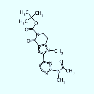 CC(=O)N(C)c1nccc(-c2cc3c(n2C)CCN(C(=O)OC(C)(C)C)C3=O)n1